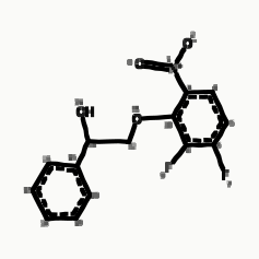 O=[N+]([O-])c1ccc(F)c(F)c1OCC(O)c1ccccc1